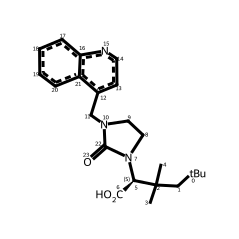 CC(C)(C)CC(C)(C)[C@@H](C(=O)O)N1CCN(Cc2ccnc3ccccc23)C1=O